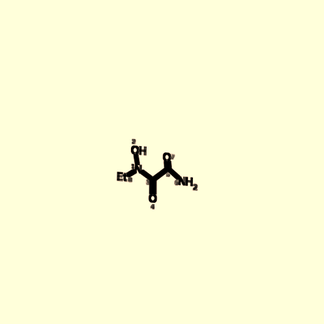 CCN(O)C(=O)C(N)=O